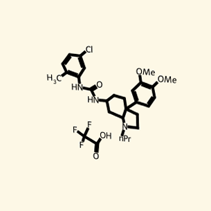 CCCN1CCC2(c3ccc(OC)c(OC)c3)CCC(NC(=O)Nc3cc(Cl)ccc3C)CC12.O=C(O)C(F)(F)F